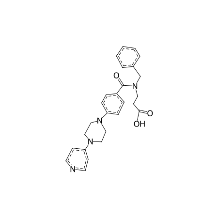 O=C(O)CCN(Cc1ccccc1)C(=O)c1ccc(N2CCN(c3ccncc3)CC2)cc1